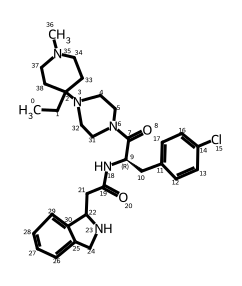 CCC1(N2CCN(C(=O)[C@@H](Cc3ccc(Cl)cc3)NC(=O)CC3NCc4ccccc43)CC2)CCN(C)CC1